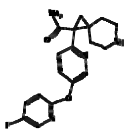 NC(=O)C1(c2ccc(Oc3ccc(F)cn3)cn2)CC12CCNCC2